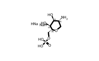 N[C@@H]1CO[C@H](COP(=O)(O)O)[C@@H](O)[C@H]1O.[NaH].[NaH]